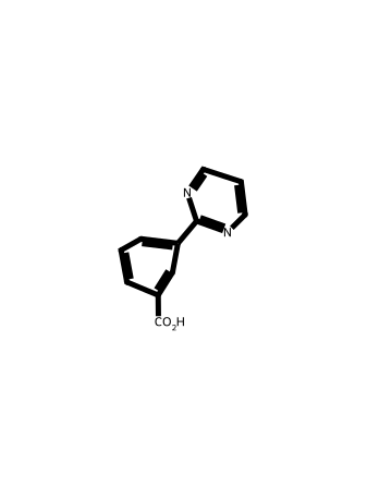 O=C(O)c1cccc(-c2ncccn2)c1